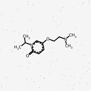 CC(C)n1cc(OCCN(C)C)ccc1=O